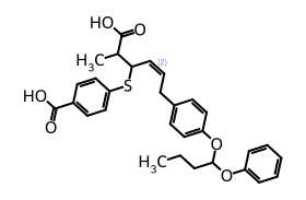 CCCC(Oc1ccccc1)Oc1ccc(C/C=C\C(Sc2ccc(C(=O)O)cc2)C(C)C(=O)O)cc1